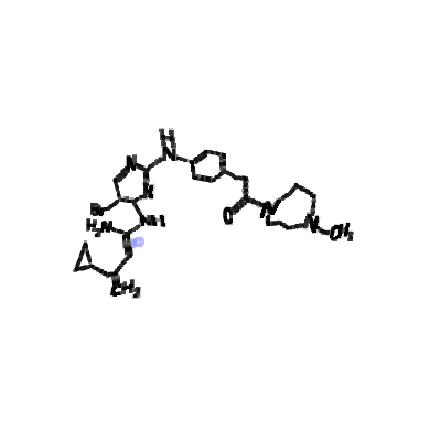 C=C(/C=C(\N)Nc1nc(Nc2ccc(CC(=O)N3CCN(C)CC3)cc2)ncc1Br)C1CC1